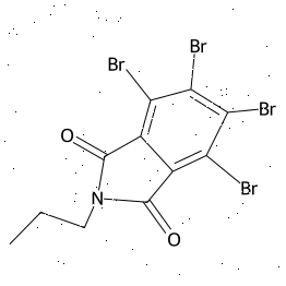 CCCN1C(=O)c2c(Br)c(Br)c(Br)c(Br)c2C1=O